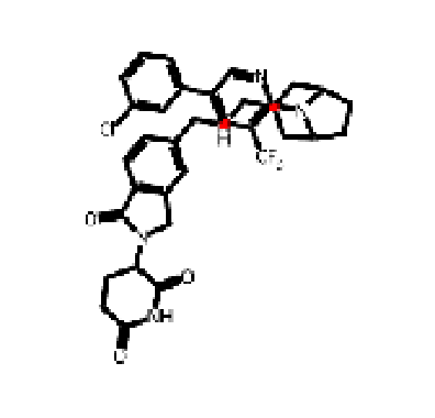 O=C1CCC(N2Cc3cc(CNCC4CC5CCC(C4)N5c4ncc(-c5cccc(Cl)c5)cc4C(F)(F)F)ccc3C2=O)C(=O)N1